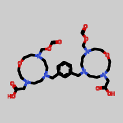 O=COCN1CCOCCN(CC(=O)O)CCN(Cc2cccc(CN3CCN(COC=O)CCOCCN(CC(=O)O)CC3)c2)CC1